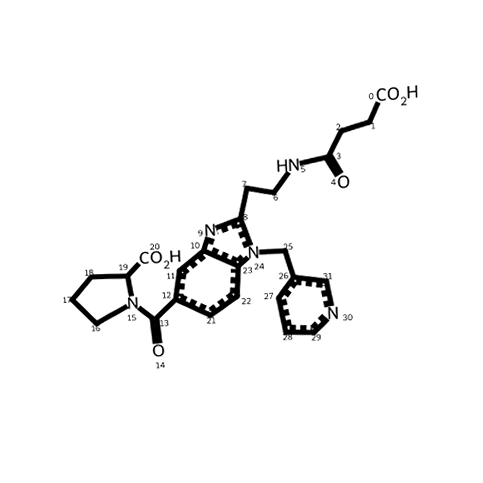 O=C(O)CCC(=O)NCCc1nc2cc(C(=O)N3CCCC3C(=O)O)ccc2n1Cc1cccnc1